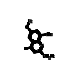 CCOC(=O)c1cc(C)c2cc(OCC)cc(C(C)(C)C)c2n1